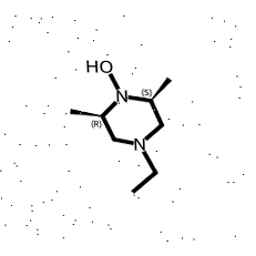 CCN1C[C@@H](C)N(O)[C@@H](C)C1